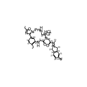 Cc1nc(-c2ccc(C)c(NCC(=O)N(CCNC(C)C)CC(=O)N(C)N3Cc4ccc(F)cc4C3)c2)no1.Cl.Cl